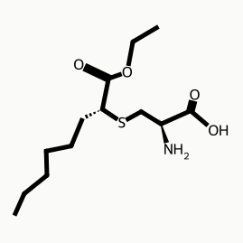 CCCCCC[C@@H](SC[C@H](N)C(=O)O)C(=O)OCC